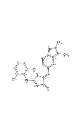 Cn1c(C(F)(F)F)nc2ccc(/C=C3\SC(Nc4c(Cl)cccc4Cl)=NC3=O)cc21